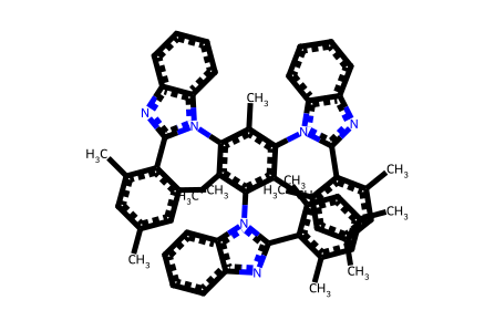 Cc1cc(C)c(-c2nc3ccccc3n2-c2c(C)c(-n3c(-c4c(C)cc(C)cc4C)nc4ccccc43)c(C)c(-n3c(-c4c(C)cc(C)cc4C)nc4ccccc43)c2C)c(C)c1